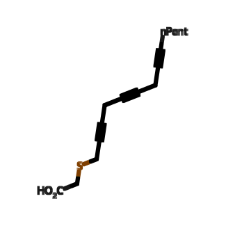 CCCCCC#CCC#CCC#CCSCC(=O)O